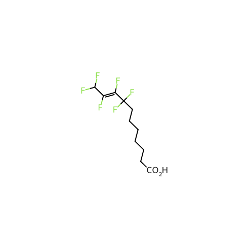 O=C(O)CCCCCCC(F)(F)C(F)=C(F)C(F)F